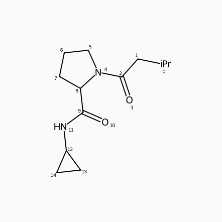 CC(C)CC(=O)N1CCCC1C(=O)NC1CC1